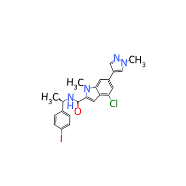 C[C@@H](NC(=O)c1cc2c(Cl)cc(-c3cnn(C)c3)cc2n1C)c1ccc(I)cc1